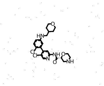 O=C(Nc1cc(-c2cc(NCC3CCOCC3)ccc2Cl)c(Cl)cn1)[C@H]1CNCCO1